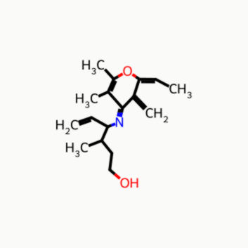 C=CC(/N=c1\c(C)c(C)o/c(=C/C)c1=C)C(C)CCO